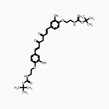 CC(C)(C)OC(=O)NCCOc1ccc(C=CC(=O)CC(=O)C=Cc2ccc(OCCNC(=O)OC(C)(C)C)c(O)c2)cc1O